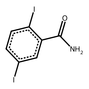 NC(=O)c1cc(I)ccc1I